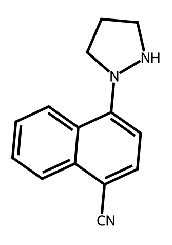 N#Cc1ccc(N2CCCN2)c2ccccc12